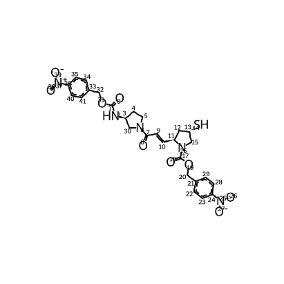 O=C(N[C@H]1CCN(C(=O)C=C[C@H]2C[C@H](S)CN2C(=O)OCc2ccc([N+](=O)[O-])cc2)C1)OCc1ccc([N+](=O)[O-])cc1